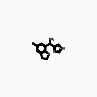 CC(c1c[nH]cn1)c1cc(F)cc2c1OCC2